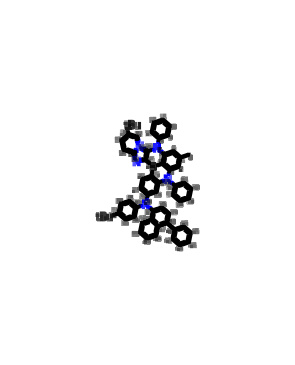 Cc1cc2c3c(c1)N(c1ccccc1)c1c(nc4ccc(C(C)(C)C)cn14)B3c1ccc(N(c3ccc(C(C)(C)C)cc3)c3ccc(-c4ccccc4)c4ccccc34)cc1N2c1ccccc1